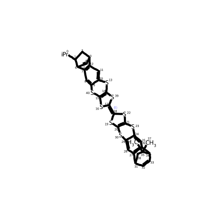 CC(C)C1CC2C=CC1c1cc3c(cc12)SC1=C(S/C(=C2\SC4=C(S2)Sc2cc5c(cc2S4)C2C=CC5C(C)(C)C2)S1)S3